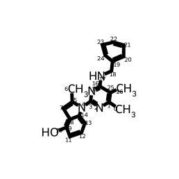 Cc1nc(-n2c(C)cc3c(O)cccc32)nc(NCc2ccccc2)c1C